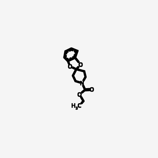 CCOC(=O)N1CCC2(CC1)Oc1ccccc1O2